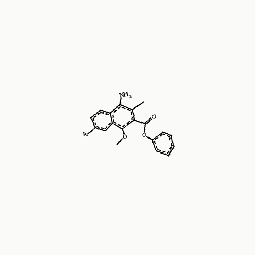 COc1c(C(=O)Oc2ccccc2)c(C)c(N)c2ccc(Br)cc12